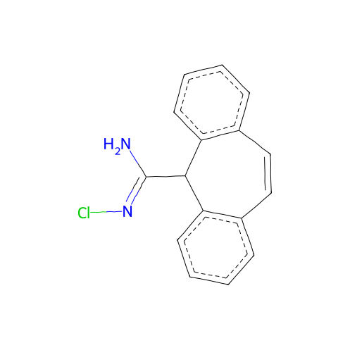 N/C(=N\Cl)C1c2ccccc2C=Cc2ccccc21